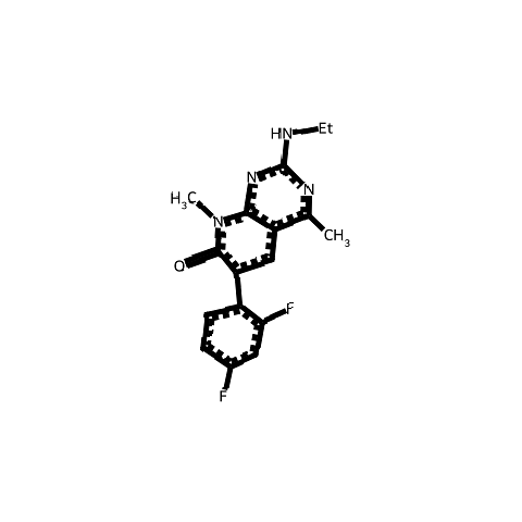 CCNc1nc(C)c2cc(-c3ccc(F)cc3F)c(=O)n(C)c2n1